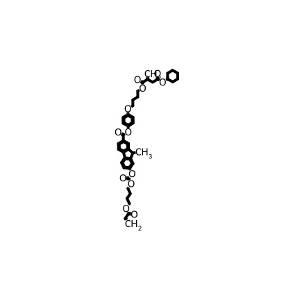 C=CC(=O)OCCCCOC(=O)Oc1ccc2c(c1)C(C)c1cc(C(=O)Oc3ccc(OCCCCOC(=O)C(=C)CC(=O)OC4CCCCC4)cc3)ccc1-2